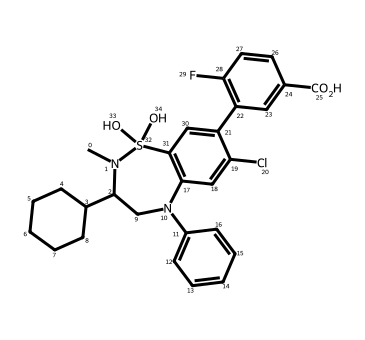 CN1C(C2CCCCC2)CN(c2ccccc2)c2cc(Cl)c(-c3cc(C(=O)O)ccc3F)cc2S1(O)O